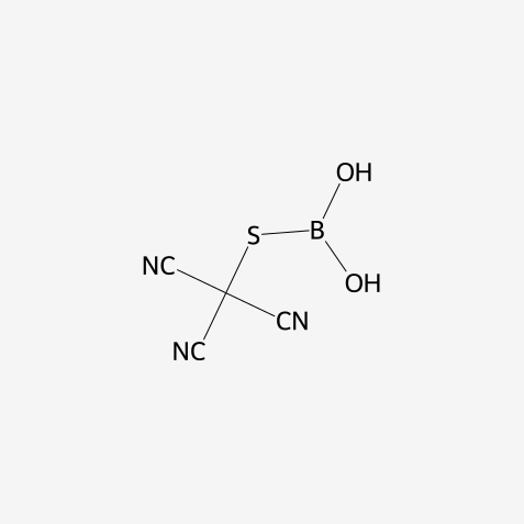 N#CC(C#N)(C#N)SB(O)O